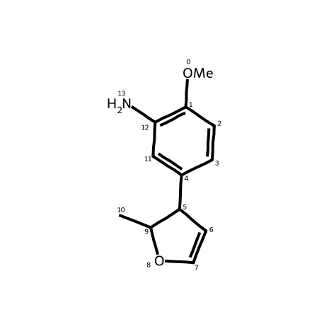 COc1ccc(C2C=COC2C)cc1N